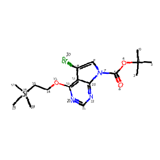 CC(C)(C)OC(=O)n1cc(Br)c2c(OCC[Si](C)(C)C)ncnc21